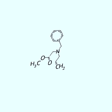 C=CCN(CC(=O)OC)Cc1ccccc1